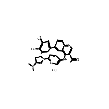 CC(=O)c1cnc2ccc(-c3cc(Cl)c(O)c(Cl)c3)cc2c1Nc1ccc(N2CCC(N(C)C)C2)nc1.Cl